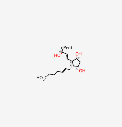 CCCCC[C@H](O)C=C[C@@H]1[C@@H](CC=CCCCC(=O)O)[C@@H](O)C[C@H]1O